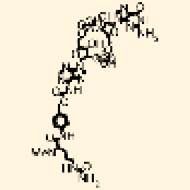 CN[C@@H](CCCNC(N)=O)C(=O)Nc1ccc(COC(=O)Nc2ncnc3c2ncn3C2OC3COP(=O)(O)OC4C(COP(=O)(O)OC2C3O)OC(n2cnc3c(=O)[nH]c(N)nc32)C4O)cc1